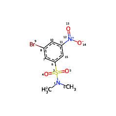 CN(C)S(=O)(=O)c1cc(Br)cc([N+](=O)[O-])c1